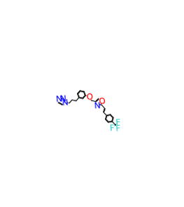 FC(F)(F)c1ccc(/C=C/c2nc(COc3cccc(CCCn4ccnn4)c3)co2)cc1